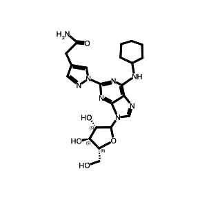 NC(=O)Cc1cnn(-c2nc(NC3CCCCC3)c3ncn(C4O[C@H](CO)[C@@H](O)[C@@H]4O)c3n2)c1